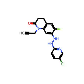 C#CCN1C(=O)CCc2cc(F)c(NNc3ccc(Cl)cn3)cc21